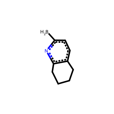 Bc1ccc2c(n1)CCCC2